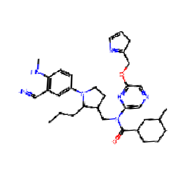 CCCC1C(CN(C(=O)C2CCCC(C)C2)c2cncc(OCC3=NC=CC3)n2)CCN1c1ccc(NC)c(C=N)c1